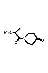 COC(C)C(=O)N1CCC(=O)CC1